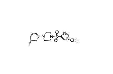 Cn1cnc(S(=O)(=O)N2CCN(c3c[c]cc(F)c3)CC2)c1